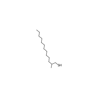 CCCCCCCCCCCC(C)CS